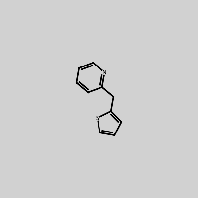 [c]1cccnc1Cc1cccs1